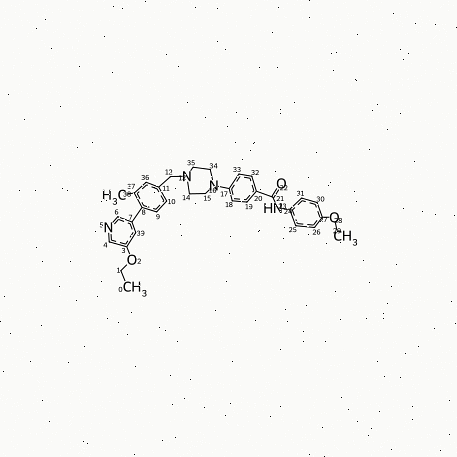 CCOc1cncc(-c2ccc(CN3CCN(c4ccc(C(=O)Nc5ccc(OC)cc5)cc4)CC3)cc2C)c1